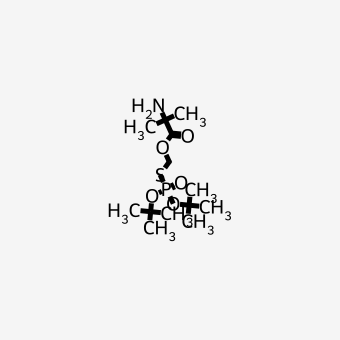 CC(C)(C)OP(=O)(OC(C)(C)C)SCOC(=O)C(C)(C)N